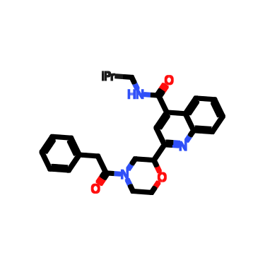 CC(C)CNC(=O)c1cc(C2CN(C(=O)Cc3ccccc3)CCO2)nc2ccccc12